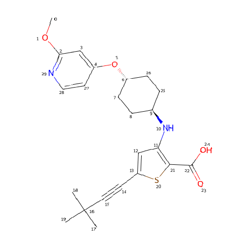 COc1cc(O[C@H]2CC[C@H](Nc3cc(C#CC(C)(C)C)sc3C(=O)O)CC2)ccn1